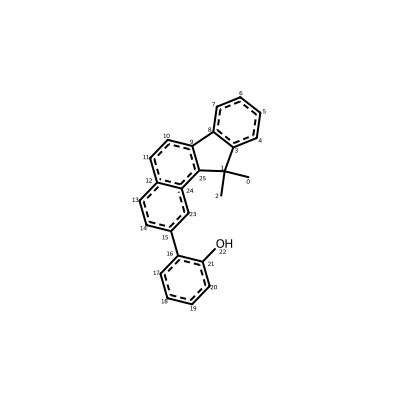 CC1(C)c2ccccc2-c2ccc3ccc(-c4ccccc4O)cc3c21